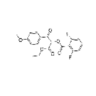 CCOC(=O)C(OC(=O)c1c(F)cccc1F)C(=O)c1ccc(OC)cc1